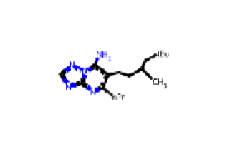 CCCc1nc2ncnn2c(N)c1CCC(C)CC(C)(C)C